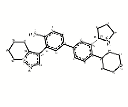 Nc1ncc(-c2ccc(C3CCOCC3)c([C@@H]3CCCN3)c2)cc1-c1cnn2c1CCCC2